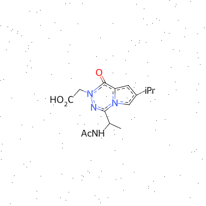 CC(=O)NC(C)c1nn(CC(=O)O)c(=O)c2cc(C(C)C)cn12